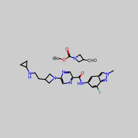 CC(C)(C)OC(=O)N1CC(C=O)C1.Cn1cc2cc(NC(=O)c3cnc(N4CC(CCNC5CC5)C4)cn3)cc(F)c2n1